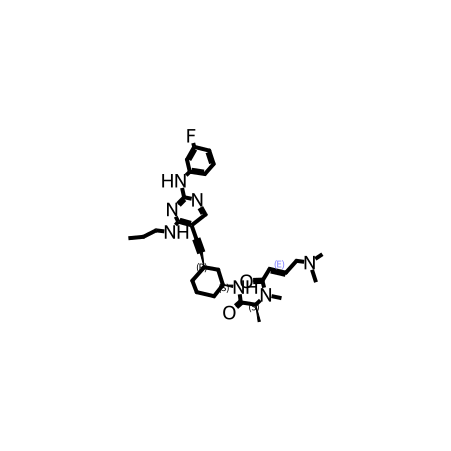 CCCNc1nc(Nc2cccc(F)c2)ncc1C#C[C@@H]1CCC[C@H](NC(=O)[C@H](C)N(C)C(=O)/C=C/CN(C)C)C1